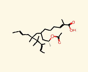 C/C=C/CC(C)(CC(CCC/C=C(\C)C(=O)O)C[C@@H](C)OC(C)=O)C(C)(C)/C(C)=C/C